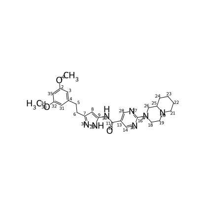 COc1cc(CCc2cc(NC(=O)c3cnc(N4CCN5CCCCC5C4)nc3)[nH]n2)cc(OC)c1